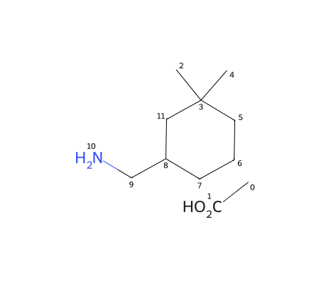 CC(=O)O.CC1(C)CCCC(CN)C1